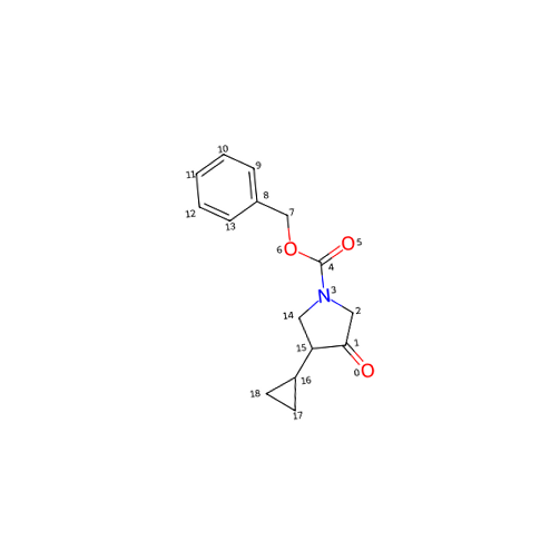 O=C1CN(C(=O)OCc2ccccc2)CC1C1CC1